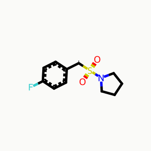 O=S(=O)([CH]c1ccc(F)cc1)N1CCCC1